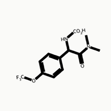 CN(C)C(=O)C(NC(=O)O)c1ccc(OC(F)(F)F)cc1